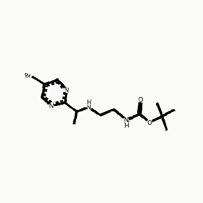 CC(NCCNC(=O)OC(C)(C)C)c1ncc(Br)cn1